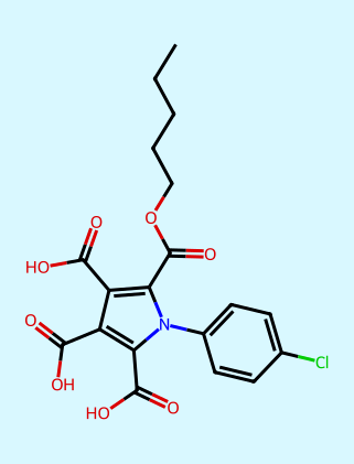 CCCCCOC(=O)c1c(C(=O)O)c(C(=O)O)c(C(=O)O)n1-c1ccc(Cl)cc1